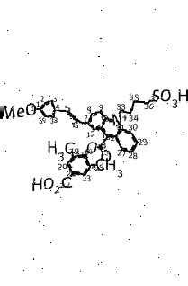 COc1ccc(/C=C/c2ccc3c(c2)c(C(=O)Oc2c(C)cc(C(=O)O)cc2C)c2ccccc2[n+]3CCCCS(=O)(=O)O)cc1